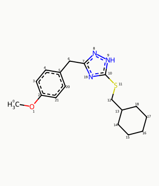 COc1ccc(Cc2n[nH]c(SCC3CCCCC3)n2)cc1